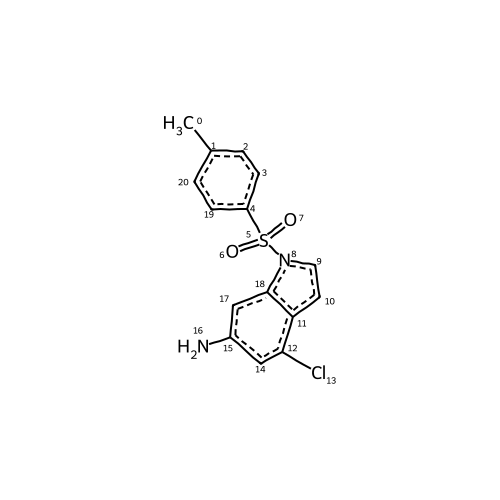 Cc1ccc(S(=O)(=O)n2ccc3c(Cl)cc(N)cc32)cc1